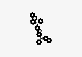 c1ccc(N(c2ccc3ccccc3c2)c2ccc3c(c2)sc2cc(N(c4ccccc4)c4cccc5c4CCc4ccccc4-5)ccc23)cc1